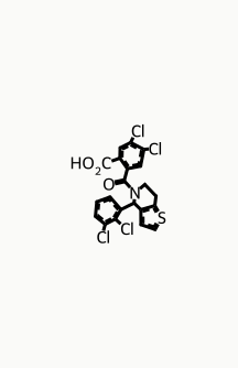 O=C(O)c1cc(Cl)c(Cl)cc1C(=O)N1CCc2sccc2C1c1cccc(Cl)c1Cl